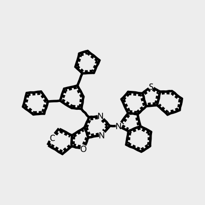 c1ccc(-c2cc(-c3ccccc3)cc(-c3nc(-n4c5ccccc5c5c6c(ccc54)sc4ccccc46)nc4oc5ccccc5c34)c2)cc1